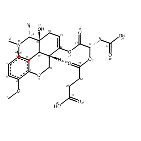 COc1ccc(C)c2c1OC[C@H]1C(OC(=O)[C@H](CC(=O)O)OC(=O)CCC(=O)O)=CC[C@@]3(O)[C@@H](C)N(C)CC[C@]213